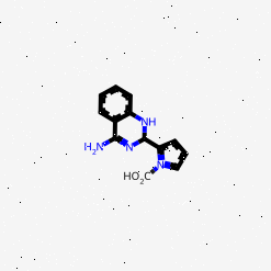 NC1=NC(c2cccn2C(=O)O)Nc2ccccc21